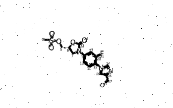 CS(=O)(=O)OC[C@H]1CN(c2ccc(-n3cnc(C=O)c3)c(F)c2)C(=O)O1